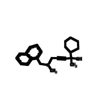 CN(CC#CC(C)(O)C1CCCCC1)Cc1cccc2ccccc12